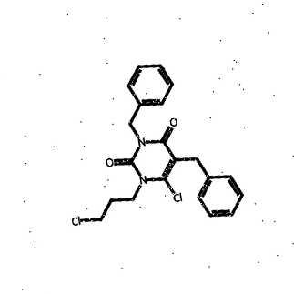 O=c1c(Cc2ccccc2)c(Cl)n(CCCCl)c(=O)n1Cc1ccccc1